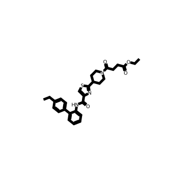 CCOC(=O)CCC(=O)N1CCC(c2nc(C(=O)Nc3ccccc3-c3ccc(CC)cc3)cs2)CC1